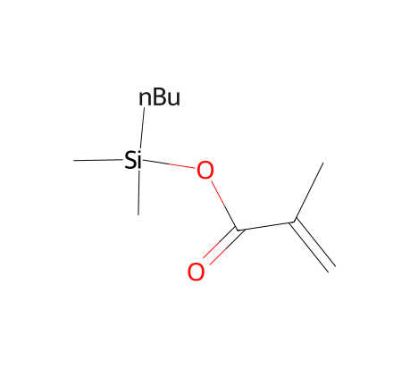 C=C(C)C(=O)O[Si](C)(C)CCCC